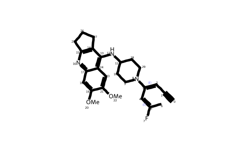 C#C/C=C(\C=C(/C)F)N1CCC(Nc2c3c(nc4cc(OC)c(OC)cc24)CCC3)CC1